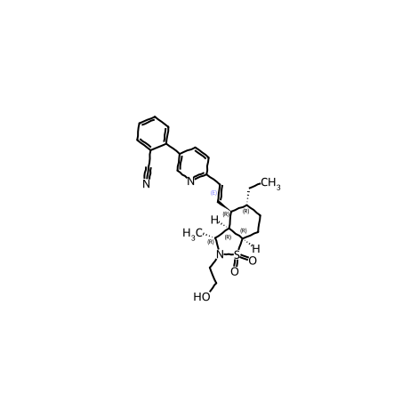 CC[C@@H]1CC[C@@H]2[C@H]([C@H]1/C=C/c1ccc(-c3ccccc3C#N)cn1)[C@@H](C)N(CCO)S2(=O)=O